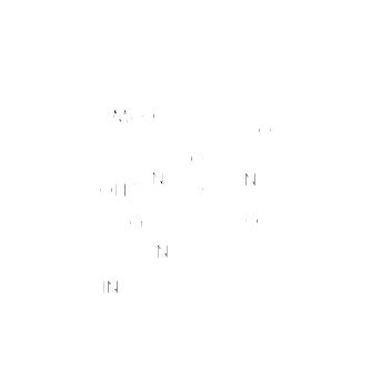 COc1ccccc1C(CN(C=O)c1sc(-c2ncco2)c(C)c1C(=O)N(C)C1CNC1)OC1CCOCC1